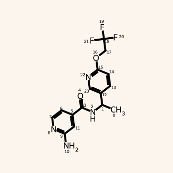 CC(NC(=O)c1ccnc(N)c1)c1ccc(OCC(F)(F)F)nc1